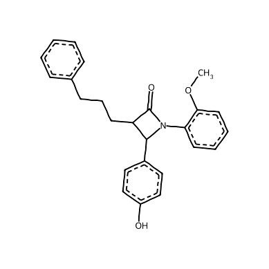 COc1ccccc1N1C(=O)C(CCCc2ccccc2)C1c1ccc(O)cc1